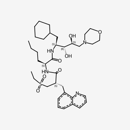 CCCC[C@H](NC(=O)[C@H](Cc1cccc2cccnc12)CS(=O)(=O)CC)C(=O)N[C@@H](CC1CCCCC1)[C@@H](O)[C@@H](O)CN1CCOCC1